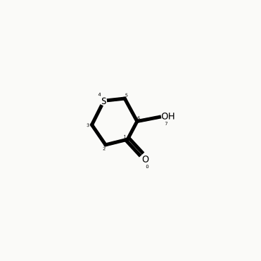 O=C1CCSCC1O